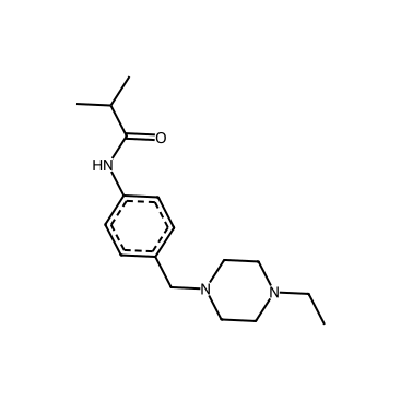 CCN1CCN(Cc2ccc(NC(=O)C(C)C)cc2)CC1